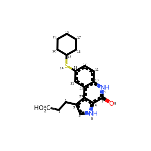 O=C(O)CCc1c[nH]c2c(=O)[nH]c3ccc(SC4CCCCC4)cc3c12